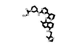 Cc1ccc2c(NCc3ncsc3C)cccc2c1Oc1ncccc1-c1ccnc(NC2CCCN(C(=O)OC(C)(C)C)C2)n1